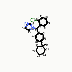 CC1(c2ccc(C(c3ccccc3Cl)n3ccnc3)cc2)CCCCC1